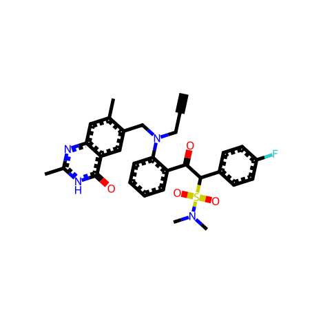 C#CCN(Cc1cc2c(=O)[nH]c(C)nc2cc1C)c1ccccc1C(=O)C(c1ccc(F)cc1)S(=O)(=O)N(C)C